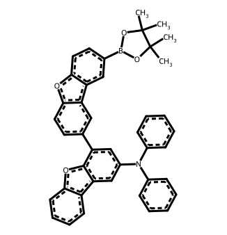 CC1(C)OB(c2ccc3oc4ccc(-c5cc(N(c6ccccc6)c6ccccc6)cc6c5oc5ccccc56)cc4c3c2)OC1(C)C